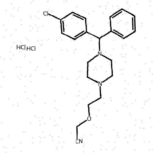 Cl.Cl.N#CCOCCN1CCN(C(c2ccccc2)c2ccc(Cl)cc2)CC1